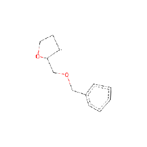 [CH]1CCOC1COCc1ccccc1